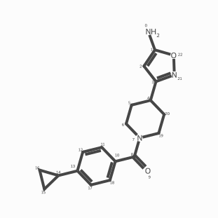 Nc1cc(C2CCN(C(=O)c3ccc(C4CC4)cc3)CC2)no1